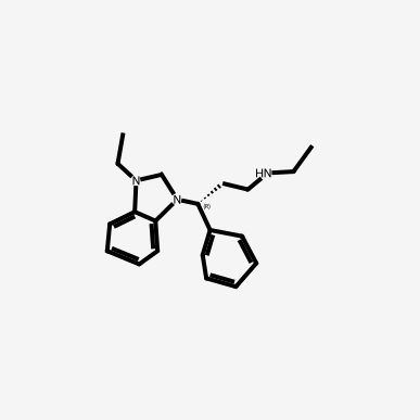 CCNCC[C@H](c1ccccc1)N1[CH]N(CC)c2ccccc21